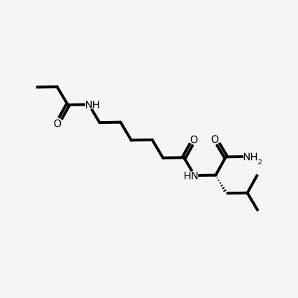 CCC(=O)NCCCCCC(=O)N[C@@H](CC(C)C)C(N)=O